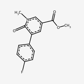 COC(=O)c1cc(-c2ccc(F)cc2)c(=O)n(C)c1